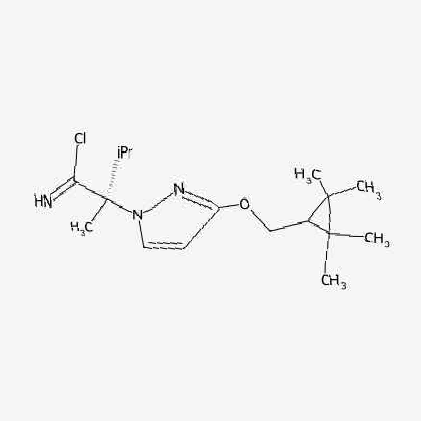 CC(C)[C@](C)(C(=N)Cl)n1ccc(OCC2C(C)(C)C2(C)C)n1